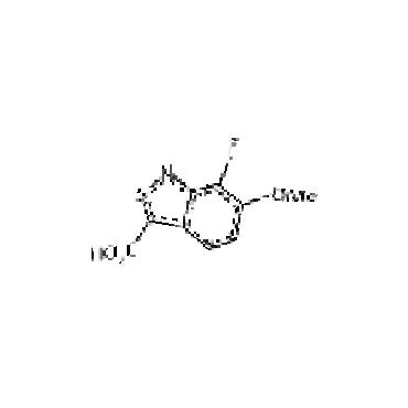 COc1ccc2c(C(=O)O)snc2c1F